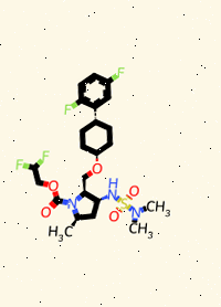 C[C@@H]1C[C@H](NS(=O)(=O)N(C)C)[C@H](CO[C@H]2CC[C@@H](c3cc(F)ccc3F)CC2)N1C(=O)OCC(F)F